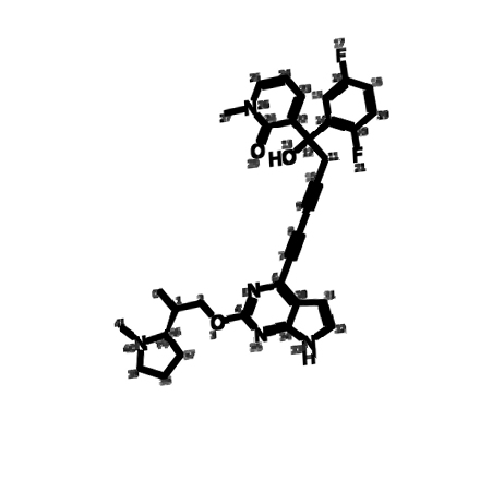 CC(COc1nc(C#CC#CCC(O)(c2cc(F)ccc2F)c2cccn(C)c2=O)c2cc[nH]c2n1)[C@H]1CCCN1C